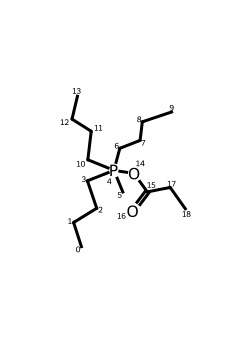 CCCCP(C)(CCCC)(CCCC)OC(=O)CC